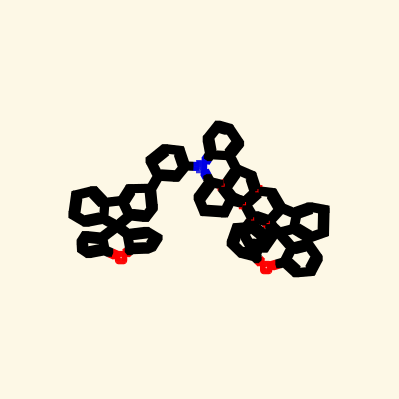 c1ccc(-c2ccc(-c3ccccc3N(c3cccc(-c4ccc5c(c4)-c4ccccc4C54c5ccccc5Oc5ccccc54)c3)c3cccc(-c4ccc5c(c4)C4(c6ccccc6Oc6ccccc64)c4ccccc4-5)c3)cc2)cc1